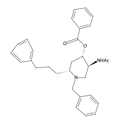 CC(=O)N[C@H]1CN(Cc2ccccc2)[C@H](CCCc2ccccc2)C[C@@H]1OC(=O)c1ccccc1